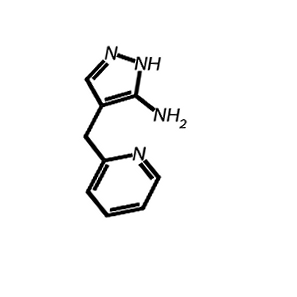 Nc1[nH]ncc1Cc1ccccn1